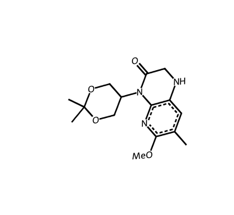 COc1nc2c(cc1C)NCC(=O)N2C1COC(C)(C)OC1